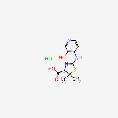 CC1(C)SC(Nc2ccncc2O)=N[C@@H]1C(=O)O.Cl